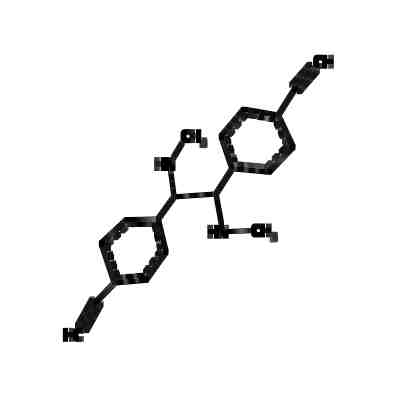 C#Cc1ccc(C(NC)C(NC)c2ccc(C#C)cc2)cc1